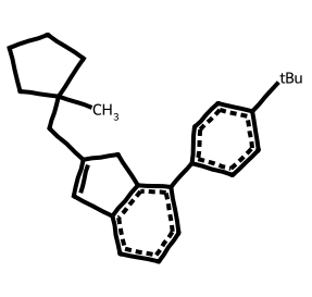 CC1(CC2=Cc3cccc(-c4ccc(C(C)(C)C)cc4)c3C2)CCCC1